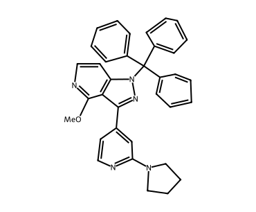 COc1nccc2c1c(-c1ccnc(N3CCCC3)c1)nn2C(c1ccccc1)(c1ccccc1)c1ccccc1